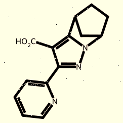 O=C(O)c1c(-c2ccccn2)nn2c1C1CCC2C1